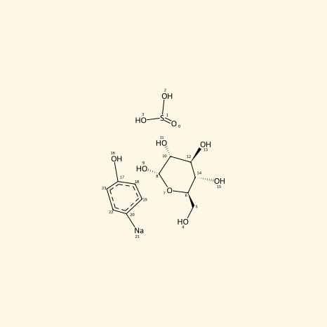 O=S(O)O.OC[C@H]1O[C@H](O)[C@H](O)[C@@H](O)[C@@H]1O.Oc1cc[c]([Na])cc1